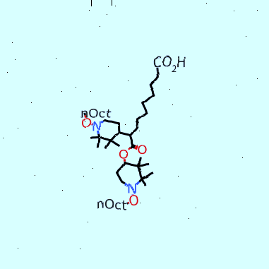 CCCCCCCCON1CCC(OC(=O)C(CCCCCCCC(=O)O)C2CCN(OCCCCCCCC)C(C)(C)C2(C)C)C(C)(C)C1(C)C